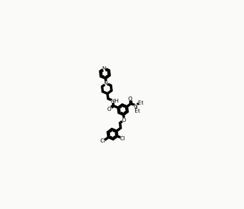 CCN(CC)C(=O)c1cc(OCCc2ccc(Cl)cc2Cl)cc(C(=O)NCC2CCN(c3ccncc3)CC2)c1